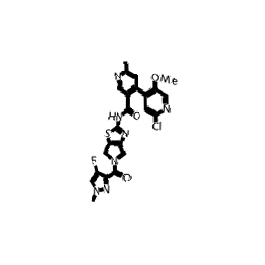 COc1cnc(Cl)cc1-c1cc(C)ncc1C(=O)Nc1nc2c(s1)CN(C(=O)c1nn(C)cc1F)C2